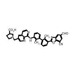 Cc1c(Nc2nccc3cc(CN4CCC(C(=O)O)C4)cnc23)cccc1-c1cccc(-c2nc3cc(C=O)cc(C#N)c3o2)c1C